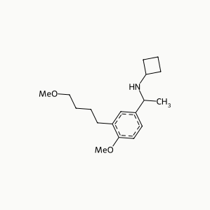 COCCCCc1cc(C(C)NC2CCC2)ccc1OC